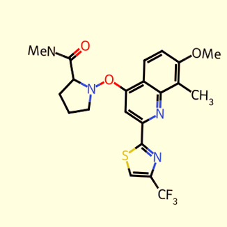 CNC(=O)C1CCCN1Oc1cc(-c2nc(C(F)(F)F)cs2)nc2c(C)c(OC)ccc12